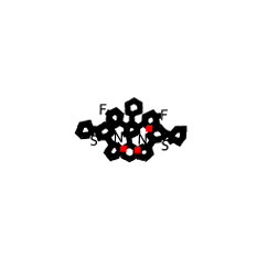 Fc1ccc(-c2c(C3CCCCC3)c(-c3ccc(F)cc3)c(-n3c4ccccc4c4c5sc6ccccc6c5ccc43)c(C3CCCCC3)c2-n2c3ccccc3c3c4sc5ccccc5c4ccc32)cc1